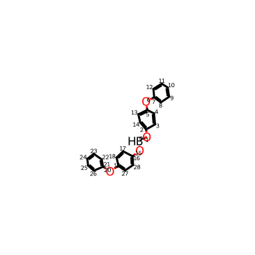 B(Oc1ccc(Oc2ccccc2)cc1)Oc1ccc(Oc2ccccc2)cc1